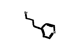 BrCCCc1ccncc1